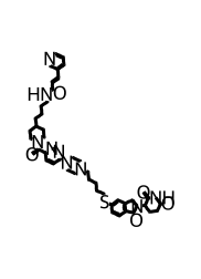 O=C(/C=C/c1cccnc1)NCCCCC1CCN(C(=O)c2ccc(N3CCN(CCCCCSc4ccc5c(c4)CN(C4CCC(=O)NC4=O)C5=O)CC3)nn2)CC1